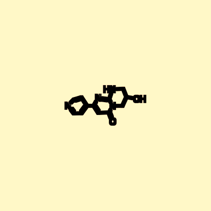 O=c1cc(-c2ccncc2)nc2n1CC(O)CN2